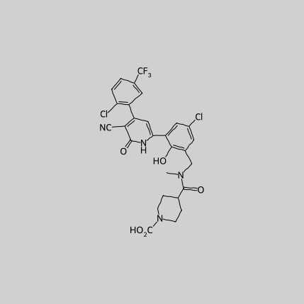 CN(Cc1cc(Cl)cc(-c2cc(-c3cc(C(F)(F)F)ccc3Cl)c(C#N)c(=O)[nH]2)c1O)C(=O)C1CCN(C(=O)O)CC1